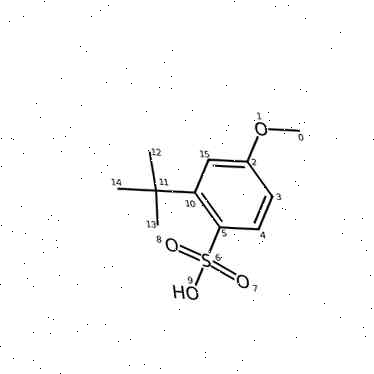 COc1ccc(S(=O)(=O)O)c(C(C)(C)C)c1